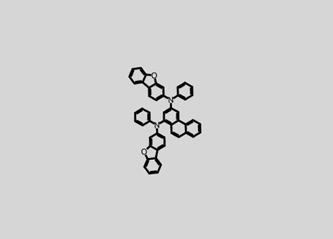 c1ccc(N(c2ccc3c(c2)oc2ccccc23)c2cc(N(c3ccccc3)c3ccc4c(c3)oc3ccccc34)c3ccc4ccccc4c3c2)cc1